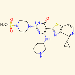 CS(=O)(=O)N1CCN(c2nc(NC3CCCNC3)c(-c3nc4c(C5CC5)nccc4s3)c(=O)[nH]2)CC1